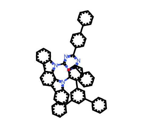 c1ccc(-c2ccc(-c3nc(-c4ccccc4)nc(-n4c5ccccc5c5ccc6c7ccccc7n(-c7ccccc7-c7cc(-c8ccccc8)cc(-c8ccccc8)c7)c6c54)n3)cc2)cc1